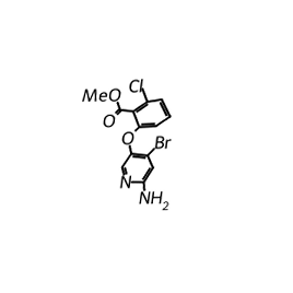 COC(=O)c1c(Cl)cccc1Oc1cnc(N)cc1Br